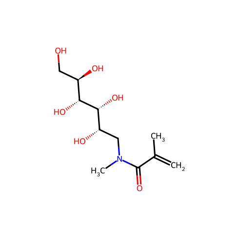 C=C(C)C(=O)N(C)C[C@H](O)[C@@H](O)[C@H](O)[C@H](O)CO